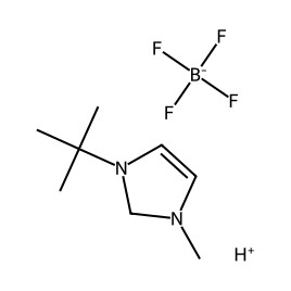 CN1C=CN(C(C)(C)C)C1.F[B-](F)(F)F.[H+]